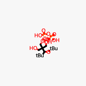 CC(C)(C)OC(C(C)(C)C)C(CO)(CO)CO.O=P(O)(O)OP(=O)(O)O